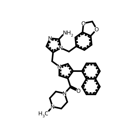 CN1CCN(C(=O)c2cn(Cc3cnc(N)n3Cc3ccc4c(c3)OCO4)cc2-c2cccc3ccccc23)CC1